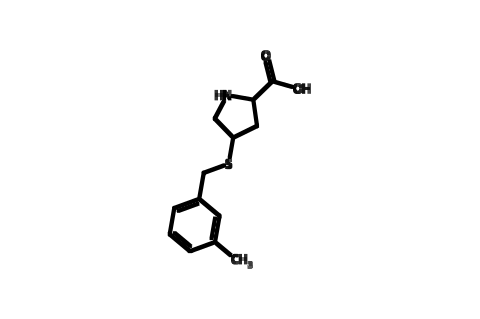 Cc1cccc(CSC2CNC(C(=O)O)C2)c1